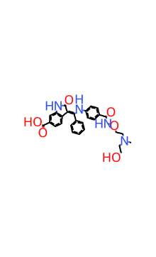 CN(CCO)CCONC(=O)c1ccc(N/C(=C2\C(=O)Nc3cc(C(=O)O)ccc32)c2ccccc2)cc1